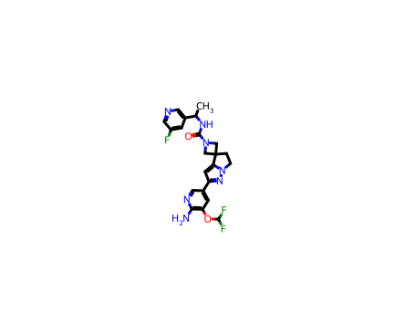 CC(NC(=O)N1CC2(CCn3nc(-c4cnc(N)c(OC(F)F)c4)cc32)C1)c1cncc(F)c1